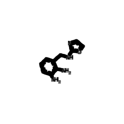 Nc1cccc(CNc2ncco2)c1N